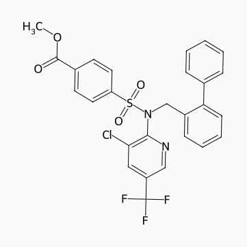 COC(=O)c1ccc(S(=O)(=O)N(Cc2ccccc2-c2ccccc2)c2ncc(C(F)(F)F)cc2Cl)cc1